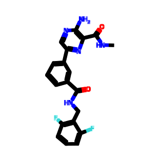 CNC(=O)c1nc(-c2cccc(C(=O)NCc3c(F)cccc3F)c2)cnc1N